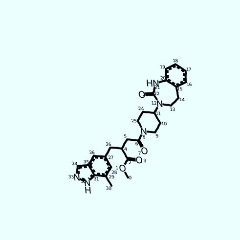 COC(=O)C(CC(=O)N1CCC(N2CCc3ccccc3NC2=O)CC1)Cc1cc(C)c2[nH]ncc2c1